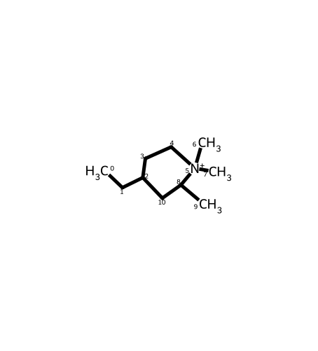 CCC1CC[N+](C)(C)C(C)C1